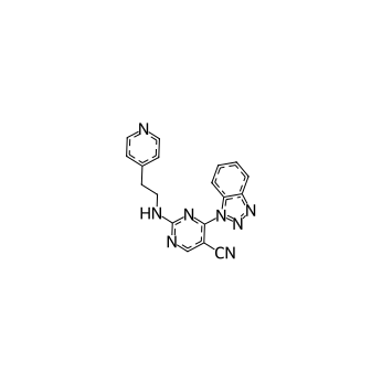 N#Cc1cnc(NCCc2ccncc2)nc1-n1nnc2ccccc21